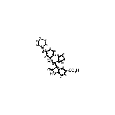 O=C1Nc2ccc(C(=O)O)cc2/C1=C(/Nc1cccc(CN2CCCCC2)c1)c1ccsc1